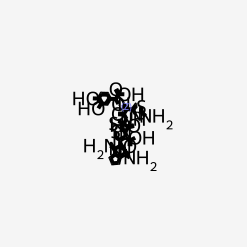 NC1=C2CCCC2N(N)C(C2=C(C(=O)O)N3C(=O)C(C=S)(NC(=O)/C(=N\OC(C(=O)O)c4ccc(O)c(O)c4)c4csc(N)n4)[C@@H]3SC2)=N1